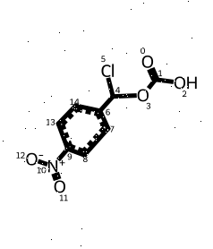 O=C(O)OC(Cl)c1ccc([N+](=O)[O-])cc1